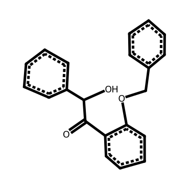 O=C(c1ccccc1OCc1ccccc1)C(O)c1ccccc1